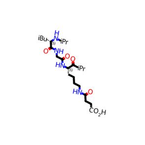 CCC(C)[C@H](NC(C)C)C(=O)NCC(=O)N[C@@H](CCCCNC(=O)CCC(=O)O)C(=O)C(C)C